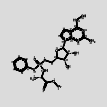 CC(C)OC(=O)[C@H](C)N[P@@](=O)(OC[C@H]1O[C@@H](n2ccc3c(NO)nc(N)nc32)[C@H](O)[C@@H]1O)Oc1ccccc1